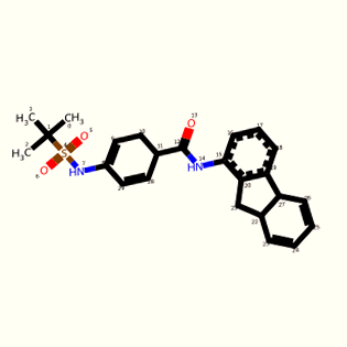 CC(C)(C)S(=O)(=O)NC1=CCC(C(=O)Nc2cccc3c2CC2C=CC=CC32)C=C1